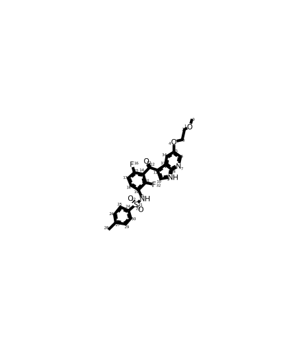 COCCOc1cnc2[nH]cc(C(=O)c3c(F)ccc(NS(=O)(=O)c4ccc(C)cc4)c3F)c2c1